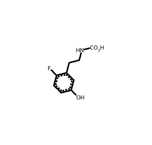 O=C(O)NCCc1cc(O)ccc1F